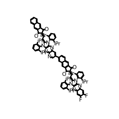 CC(C)c1cccc(C(C)C)c1N1C(=C/C=C2/C(=O)c3cc4ccc(-c5cnc6nc7c(nc6c5)N(c5c(C(C)C)cccc5C(C)C)/C(=C\C=C5C(=O)c6cc8ccccc8cc6C5=O)N7c5c(C(C)C)cccc5C(C)C)cc4cc3C2=O)N(c2c(C(C)C)cccc2C(C)C)c2nc3cc(F)c(F)cc3nc21